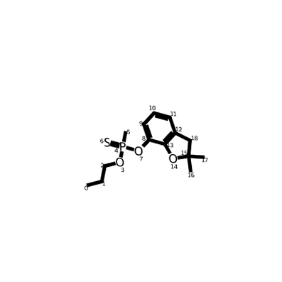 CCCOP(C)(=S)Oc1cccc2c1OC(C)(C)C2